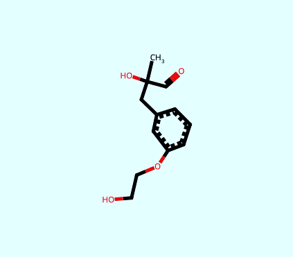 CC(O)(C=O)Cc1cccc(OCCO)c1